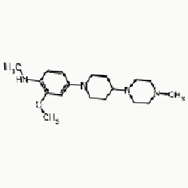 CNc1ccc(N2CCC(N3CCN(C)CC3)CC2)cc1OC